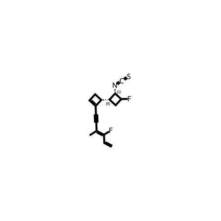 C=CC(F)=C(C)C#CC1=CCC1[C@H]1CC(F)[C@H]1N=C=S